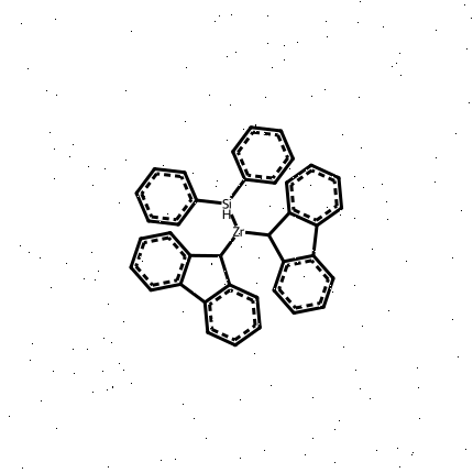 c1ccc([SiH](c2ccccc2)[Zr]([CH]2c3ccccc3-c3ccccc32)[CH]2c3ccccc3-c3ccccc32)cc1